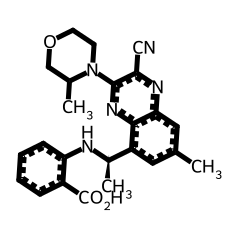 Cc1cc([C@@H](C)Nc2ccccc2C(=O)O)c2nc(N3CCOCC3C)c(C#N)nc2c1